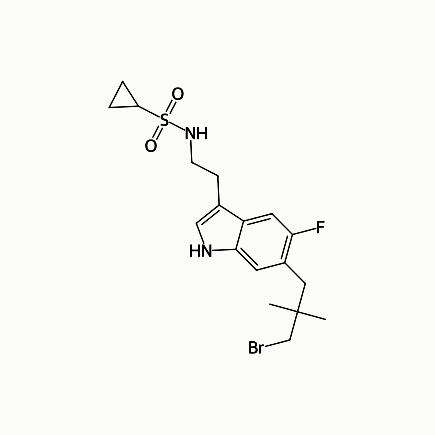 CC(C)(CBr)Cc1cc2[nH]cc(CCNS(=O)(=O)C3CC3)c2cc1F